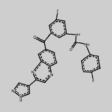 O=C(Nc1ccc(F)cc1)Nc1cc(F)cc(C(=O)c2ccc3ncc(-c4cn[nH]c4)nc3c2)c1